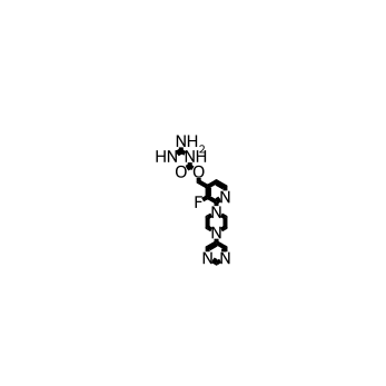 N=C(N)NC(=O)OCc1ccnc(N2CCN(c3cncnc3)CC2)c1F